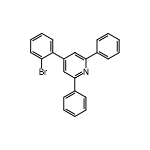 Brc1ccccc1-c1cc(-c2ccccc2)nc(-c2ccccc2)c1